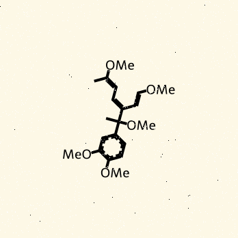 CO/C=C/C(=C\C=C(/C)OC)C(C)(OC)c1ccc(OC)c(OC)c1